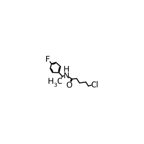 CC(NC(=O)CCCCCl)c1ccc(F)cc1